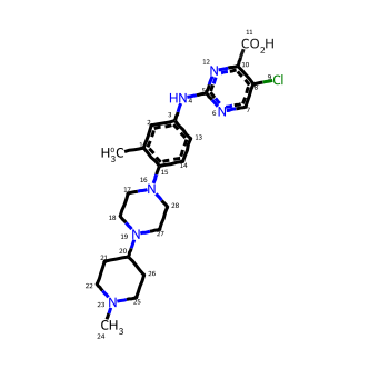 Cc1cc(Nc2ncc(Cl)c(C(=O)O)n2)ccc1N1CCN(C2CCN(C)CC2)CC1